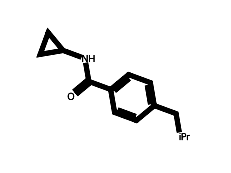 CC(C)Cc1ccc(C(=O)NC2CC2)cc1